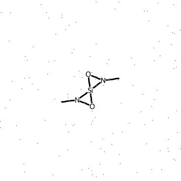 CN1O[Si]12ON2C